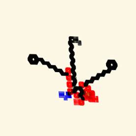 CCCCCCCCCCC[C@@H](CC(=O)[C@H]1[C@@H](ON)O[C@H](CO)[C@@H](OS(=O)(=O)O)[C@@H]1OC(=O)CCCCCCCCc1ccccc1)OC(=O)CCCCCCCCc1ccccc1